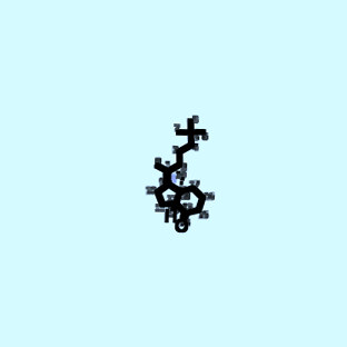 C/C(CCCC(C)(C)C)=C1\CC[C@H]2C(=O)CCC[C@]12C